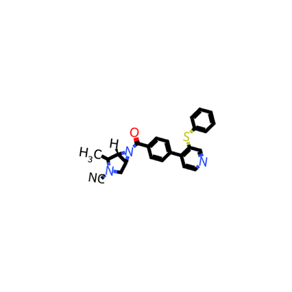 CC1[C@H]2C(CN1C#N)N2C(=O)c1ccc(-c2ccncc2Sc2ccccc2)cc1